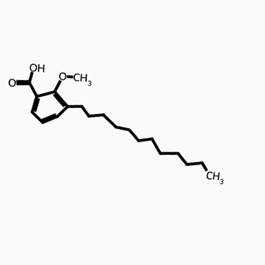 CCCCCCCCCCCCc1cccc(C(=O)O)c1OC